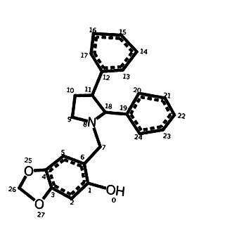 Oc1cc2c(cc1CN1CCC(c3ccccc3)C1c1ccccc1)OCO2